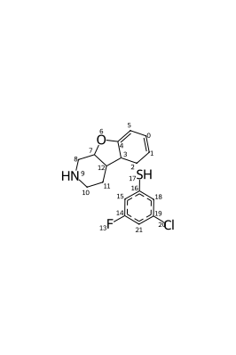 C1=CCC2C(=C1)OC1CNCCC12.Fc1cc(S)cc(Cl)c1